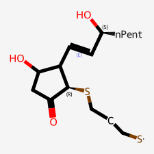 CCCCC[C@H](O)/C=C/C1C(O)CC(=O)[C@@H]1SCCC[S]